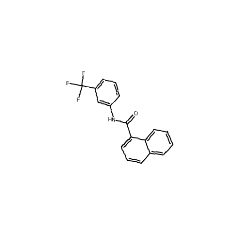 O=C(Nc1cccc(C(F)(F)F)c1)c1cccc2ccccc12